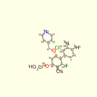 [3H]c1ccc(-c2c(OCc3ccncc3)cc(OCC(=O)O)c(C#N)c2F)c(Cl)c1[3H]